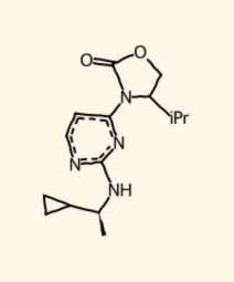 CC(C)C1COC(=O)N1c1ccnc(N[C@@H](C)C2CC2)n1